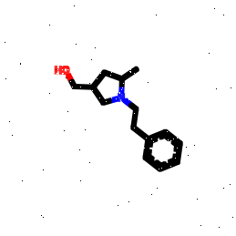 CC1CC(CO)CN1CCc1ccccc1